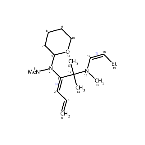 C=C/C=C(/N(NC)C1CCCCO1)C(C)(C)N(C)/C=C\CC